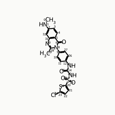 CNc1ccc2c(=O)n(-c3ccc(NC(=O)NS(=O)(=O)c4ccc(Cl)s4)cc3)c(C)nc2c1